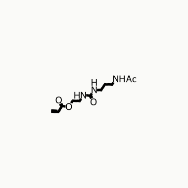 C=CC(=O)OCCNC(=O)NCCCNC(C)=O